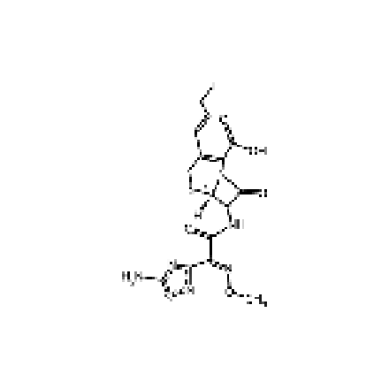 CON=C(C(=O)NC1C(=O)N2C(C(=O)O)=C(C=CCI)CS[C@@H]12)c1nsc(N)n1